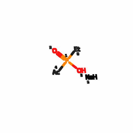 CCP(=O)(O)C(C)=O.[NaH]